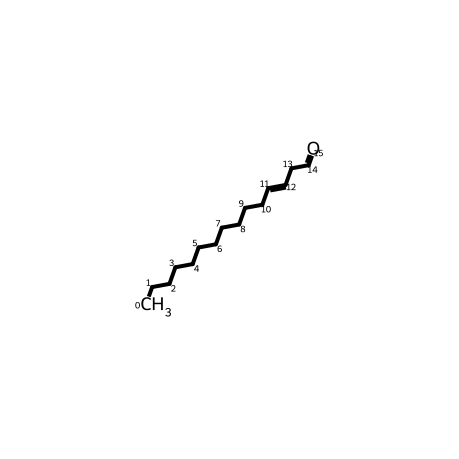 CCCCCCCCCCCC=CCC=O